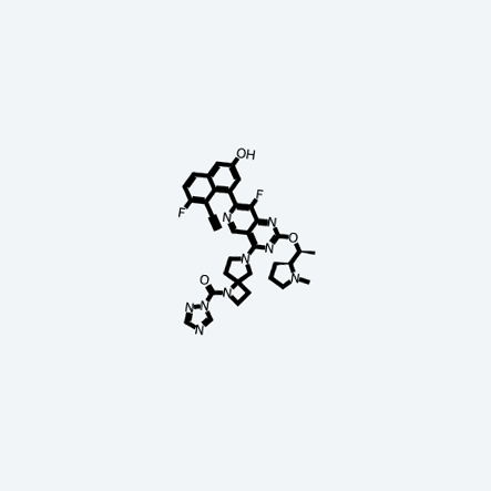 C#Cc1c(F)ccc2cc(O)cc(-c3ncc4c(N5CCC6(CCN6C(=O)n6cncn6)C5)nc(O[C@@H](C)[C@@H]5CCCN5C)nc4c3F)c12